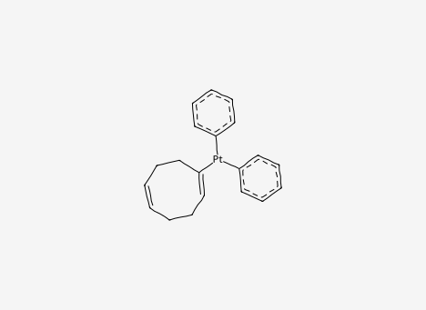 C1=CCC[C]([Pt]([c]2ccccc2)[c]2ccccc2)=CCC1